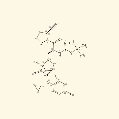 CC(C)(C)OC(=O)N[C@@H](CN1C[C@@H]2C[C@H]1C(=O)N2[C@H](c1ccc(F)cc1)C1CC1)C(=O)N1CCC[C@H]1C#N